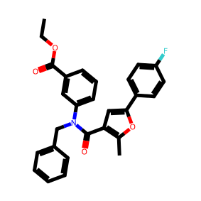 CCOC(=O)c1cccc(N(Cc2ccccc2)C(=O)c2cc(-c3ccc(F)cc3)oc2C)c1